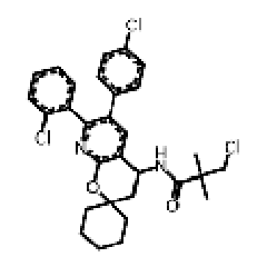 CC(C)(CCl)C(=O)NC1CC2(CCCCC2)Oc2nc(-c3ccccc3Cl)c(-c3ccc(Cl)cc3)cc21